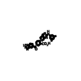 Cc1cc(C)cc(Nc2ncc3c(n2)CN([C@H]2CCN(C(=O)c4ccc5[nH]nnc5c4)C[C@@H]2C(=O)O)C3)c1